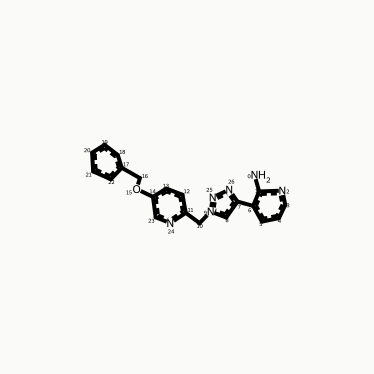 Nc1ncccc1-c1cn(Cc2ccc(OCc3ccccc3)cn2)nn1